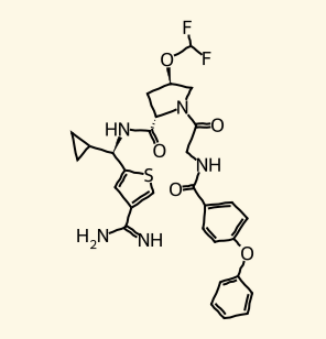 N=C(N)c1csc([C@H](NC(=O)[C@@H]2C[C@@H](OC(F)F)CN2C(=O)CNC(=O)c2ccc(Oc3ccccc3)cc2)C2CC2)c1